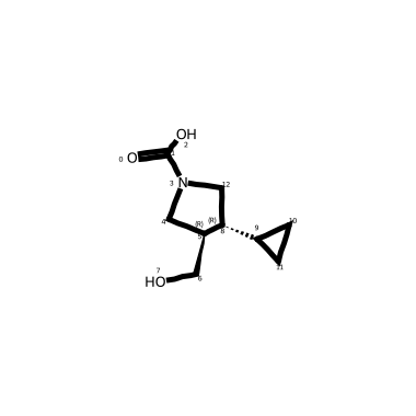 O=C(O)N1C[C@H](CO)[C@@H](C2CC2)C1